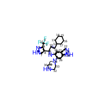 FC(F)(F)c1n[nH]cc1C(/C=C/C1CCCCC1)=N/c1cc2cn[nH]c2cc1N1CCNCC1